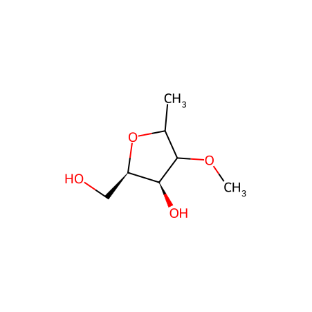 COC1C(C)O[C@H](CO)[C@@H]1O